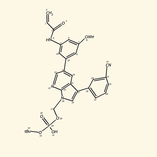 C=CC(=O)Nc1cc(OC)cc(-c2cnc3c(c2)c(-c2cccc(C#N)c2)cn3COP(=O)(O)OC(C)(C)C)c1